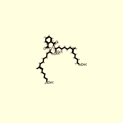 CCCCCCCCCCCCCCC=C(C)CCCCCC(CCCCCCCC)OC(=O)c1ccccc1C(=O)OC(CCCCCCCC)CCCCCC(C)=CCCCCCCCCCCCCCC